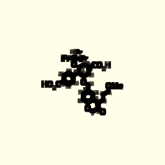 COCCCN1C(=O)COc2ccc(CO[C@H]3CN(C(=O)O)C[C@@H](O[Si](C(C)C)(C(C)C)C(C)C)[C@@H]3c3ccc(C(=O)O)cc3)cc21